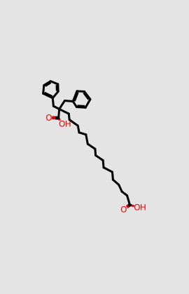 O=C(O)CCCCCCCCCCCCCCCC(Cc1ccccc1)(Cc1ccccc1)C(=O)O